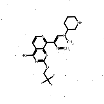 C=N/C(=C\N(C)C1CCCNC1)c1nccc2c(O)nc(OCC(F)(F)F)nc12